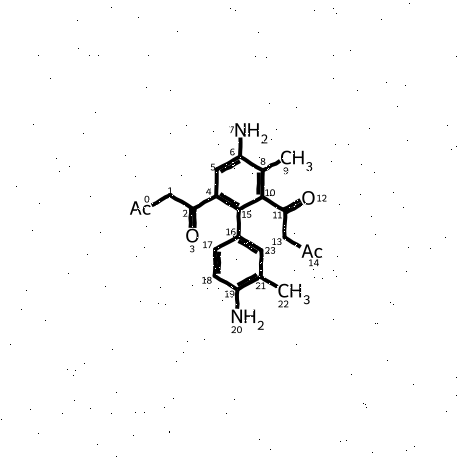 CC(=O)CC(=O)c1cc(N)c(C)c(C(=O)CC(C)=O)c1-c1ccc(N)c(C)c1